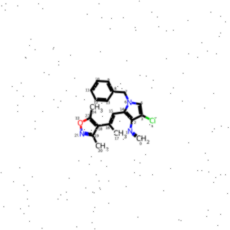 C=Nc1c(Cl)cn(Cc2ccccc2)c1/C=C(\C)c1c(C)noc1C